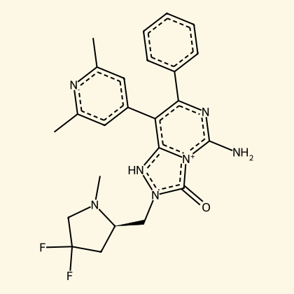 Cc1cc(-c2c(-c3ccccc3)nc(N)[n+]3c(=O)n(C[C@H]4CC(F)(F)CN4C)[nH]c23)cc(C)n1